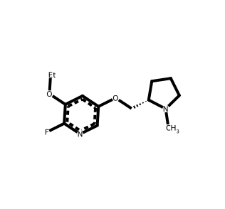 CCOc1cc(OC[C@@H]2CCCN2C)cnc1F